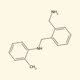 Cc1ccccc1NCc1ccccc1CN